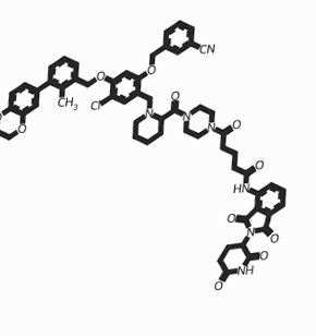 Cc1c(COc2cc(OCc3cccc(C#N)c3)c(CN3CCCCC3C(=O)N3CCN(C(=O)CCCC(=O)Nc4cccc5c4C(=O)N(C4CCC(=O)NC4=O)C5=O)CC3)cc2Cl)cccc1-c1ccc2c(c1)OCCO2